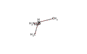 CCCCCCCCCCCCCCCCCC(=O)N[C@@H](CCCCN)C(=O)NCCCCCCCCCCCC